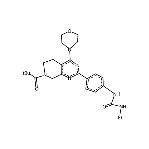 CCNC(=O)Nc1ccc(-c2nc3c(c(N4CCOCC4)n2)CCN(C(=O)C(C)(C)C)C3)cc1